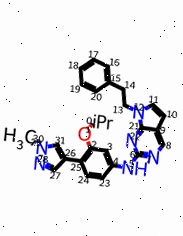 CC(C)Oc1cc(Nc2ncc3ccn(CCc4ccccc4)c3n2)ccc1-c1cnn(C)c1